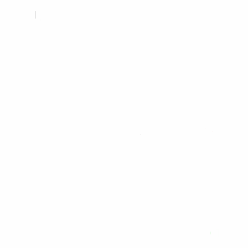 CCCCCC(C=O)CCCCl